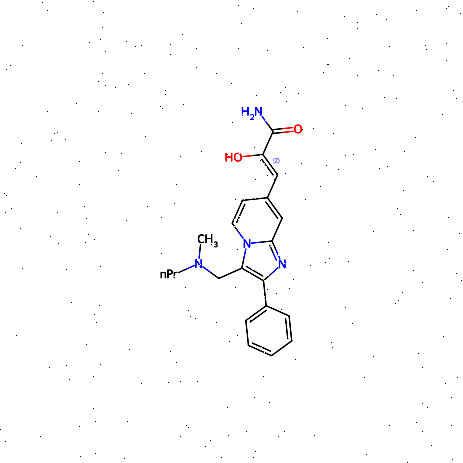 CCCN(C)Cc1c(-c2ccccc2)nc2cc(/C=C(\O)C(N)=O)ccn12